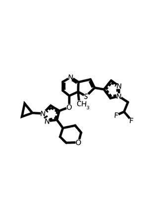 CC12SC(c3cnn(CC(F)F)c3)=CC1=NC=CC2Oc1cn(C2CC2)nc1C1CCOCC1